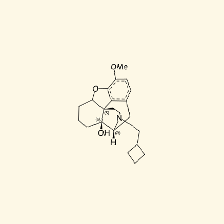 COc1ccc2c3c1OC1CCC[C@@]4(O)[C@@H](C2)N(CC2CCC2)CC[C@]314